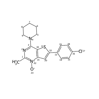 Cc1nc(N2CCCCC2)c2sc(-c3ccc(Cl)cc3)cc2[n+]1[O-]